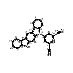 N#Cc1cc(-n2c3ccccc3c3cc4c(cc32)sc2ccccc24)cc(C#N)n1